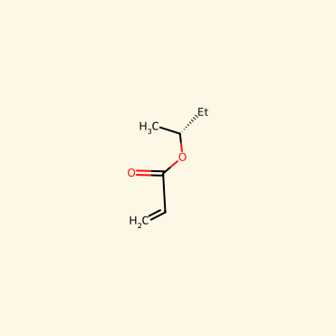 C=CC(=O)O[C@H](C)CC